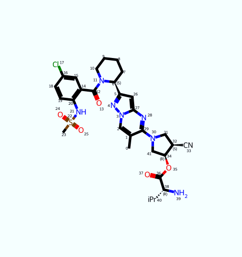 Cc1cn2nc([C@@H]3CCCCN3C(=O)c3cc(Cl)ccc3NS(C)(=O)=O)cc2nc1N1C[C@@H](C#N)[C@@H](OC(=O)[C@H](N)C(C)C)C1